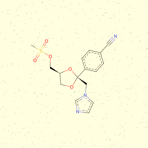 CS(=O)(=O)OC[C@@H]1CO[C@@](Cn2ccnc2)(c2ccc(C#N)cc2)O1